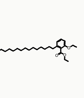 CCCCCCCCCCCCCCCc1cccc(OCC)c1C(=O)OCC